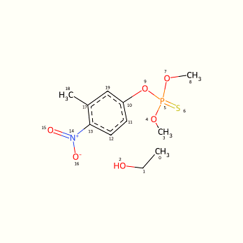 CCO.COP(=S)(OC)Oc1ccc([N+](=O)[O-])c(C)c1